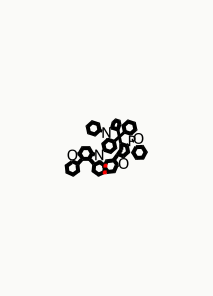 O=P1(c2ccccc2)c2ccccc2C2(c3ccccc3N(c3ccccc3)c3cc(-n4c5ccccc5c5c6c(ccc54)oc4ccccc46)ccc32)c2cc3c(cc21)oc1ccccc13